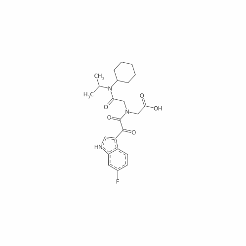 CC(C)N(C(=O)CN(CC(=O)O)C(=O)C(=O)c1c[nH]c2cc(F)ccc12)C1CCCCC1